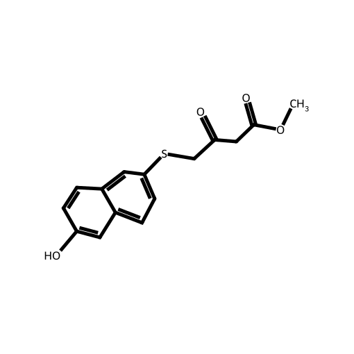 COC(=O)CC(=O)CSc1ccc2cc(O)ccc2c1